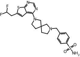 NS(=O)(=O)c1ccc(CN2CCC3(CCN(c4ncnc5sc(CC(F)F)cc45)C3)C2)cc1